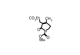 CCOC(=O)CC1=C(C)CCN(C(=O)OC(C)(C)C)C1=O